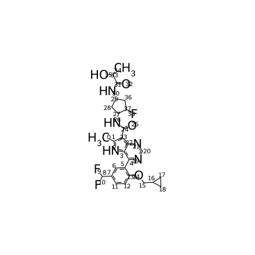 Cc1[nH]c2c(-c3cc(C(F)F)ccc3OCC3CC3)ncnc2c1C(=O)N[C@@H]1C[C@H](NC(=O)[C@H](C)O)C[C@H]1F